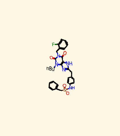 CCCCn1c(=O)n(Cc2ccccc2F)c(=O)c2[nH]c(Cc3ccc(NS(=O)(=O)Cc4ccccc4)cc3)nc21